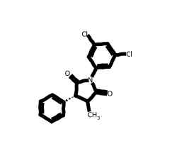 CC1C(=O)N(c2cc(Cl)cc(Cl)c2)C(=O)[C@H]1c1ccccc1